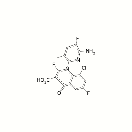 Cc1cc(F)c(N)nc1-n1c(F)c(C(=O)O)c(=O)c2cc(F)cc(Cl)c21